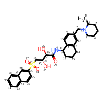 CC1CCCCN1Cc1ccc2c(c1)CCC[C@H]2NC(=O)[C@H](O)[C@H](O)CS(=O)(=O)c1ccc2ccccc2c1